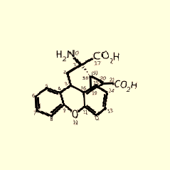 NC(CC1c2ccccc2Oc2ccccc21)(C(=O)O)[C@H]1CC1C(=O)O